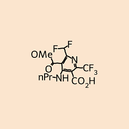 CCCNc1c(C(=O)OC)c(C(F)F)nc(C(F)(F)F)c1C(=O)O